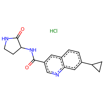 Cl.O=C(NC1CCNC1=O)c1cnc2cc(C3CC3)ccc2c1